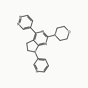 c1cncc(N2CCc3c(-c4ccnnc4)nc(N4CCOCC4)nc32)c1